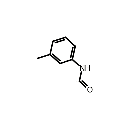 Cc1cccc(N[C]=O)c1